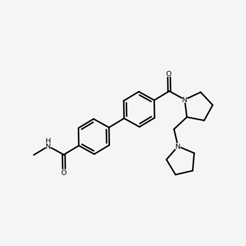 CNC(=O)c1ccc(-c2ccc(C(=O)N3CCCC3CN3CCCC3)cc2)cc1